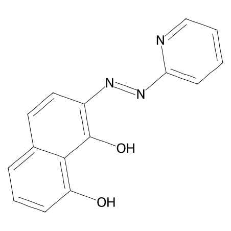 Oc1cccc2ccc(N=Nc3ccccn3)c(O)c12